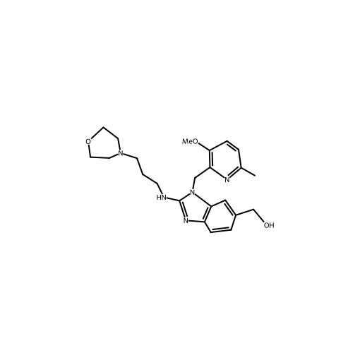 COc1ccc(C)nc1Cn1c(NCCCN2CCOCC2)nc2ccc(CO)cc21